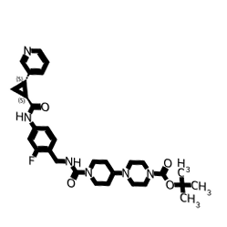 CC(C)(C)OC(=O)N1CCN(C2CCN(C(=O)NCc3ccc(NC(=O)[C@H]4C[C@@H]4c4cccnc4)cc3F)CC2)CC1